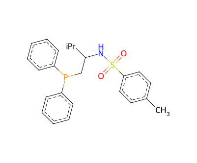 Cc1ccc(S(=O)(=O)NC(CP(c2ccccc2)c2ccccc2)C(C)C)cc1